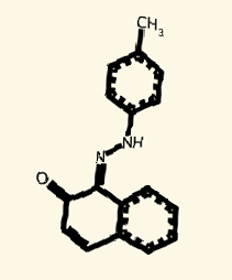 Cc1ccc(N/N=C2/C(=O)C=Cc3ccccc32)cc1